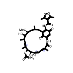 COC1/C=C\C=C(/C)C(=O)NC2=CC(=O)C(NC(=O)c3c(C)noc3C)=C(CC(C)CC(OC)C(O)C(C)/C=C(\C)C1OC(N)=O)C2=O